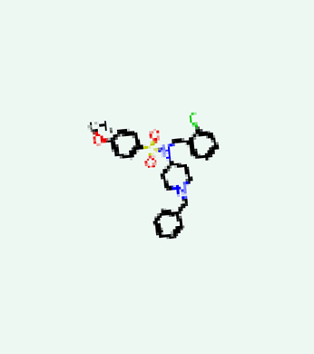 COc1ccc(S(=O)(=O)N(Cc2ccccc2Cl)C2CCN(Cc3ccccc3)CC2)cc1